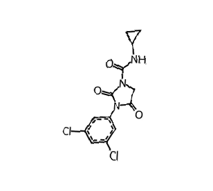 O=C(NC1CC1)N1CC(=O)N(c2cc(Cl)cc(Cl)c2)C1=O